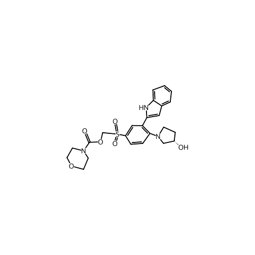 O=C(OCS(=O)(=O)c1ccc(N2CC[C@H](O)C2)c(-c2cc3ccccc3[nH]2)c1)N1CCOCC1